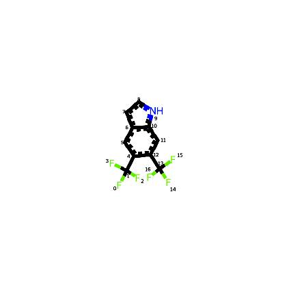 FC(F)(F)c1cc2cc[nH]c2cc1C(F)(F)F